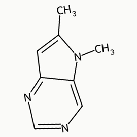 Cc1cc2ncncc2n1C